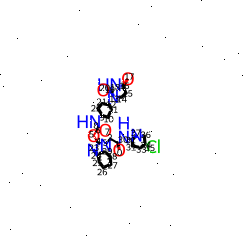 O=C(Cn1c(OC(=O)Nc2ccc(-n3ccc(=O)[nH]c3=O)cc2)nc2ccccc21)Nc1ccc(Cl)cn1